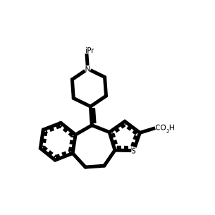 CC(C)N1CCC(=C2c3ccccc3CCc3sc(C(=O)O)cc32)CC1